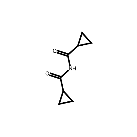 O=C(NC(=O)C1CC1)C1CC1